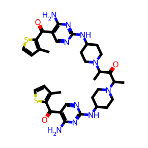 Cc1ccsc1C(=O)c1cnc(NC2CCN(C(C)C(=O)C(C)N3CCC(Nc4ncc(C(=O)c5sccc5C)c(N)n4)CC3)CC2)nc1N